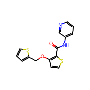 O=C(Nc1cccnc1)c1sccc1OCc1cccs1